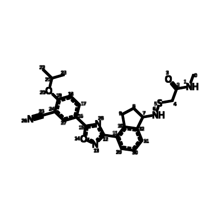 CNC(=O)CSNC1CCc2c(-c3noc(-c4ccc(OC(C)C)c(C#N)c4)n3)cccc21